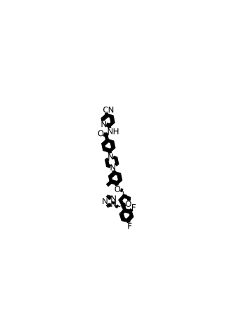 Cc1cc(N2CCN(c3ccc(C(=O)Nc4ccc(C#N)cn4)cc3)CC2)ccc1OC[C@@H]1CO[C@@](Cn2cncn2)(c2ccc(F)cc2F)C1